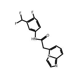 O=C(Cc1cccc2nccn12)Nc1ccc(F)c(C(F)F)c1